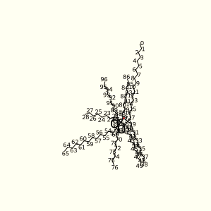 CCCCCCCCCCCCCCCCCCC(CCCCCCCCCC)(CCCCCCCCCC)C(CCCCCCCCCC)(OC(=O)CCCCCCCCCCCCC)C(CCCCCCCCCC)(CCCCCCCCCC)CCCCCCCCCC